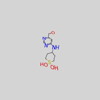 O=Cc1cc(NC2CCS(O)(O)CC2)ncn1